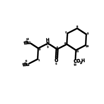 CC(C)(C)CC(NC(=O)C1CCCCC1C(=O)O)C(C)(C)C